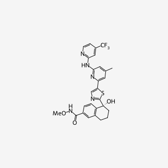 CONC(=O)c1ccc2c(c1)CCC[C@]2(O)c1ncc(-c2cc(C)cc(Nc3cc(C(F)(F)F)ccn3)n2)s1